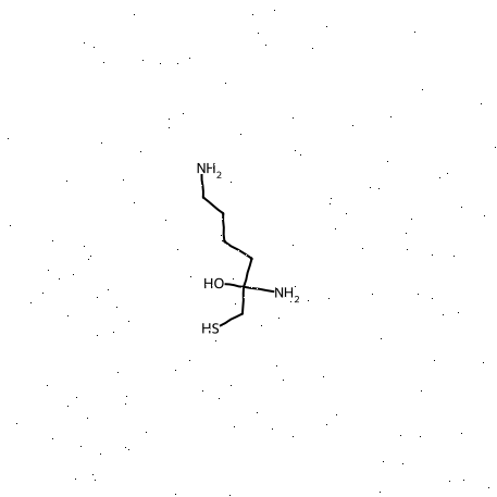 NCCCCC(N)(O)CS